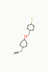 C#CCc1ccc(OCc2ccc(F)cc2)cc1